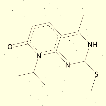 CSC1N=c2c(ccc(=O)n2C(C)C)=C(C)N1